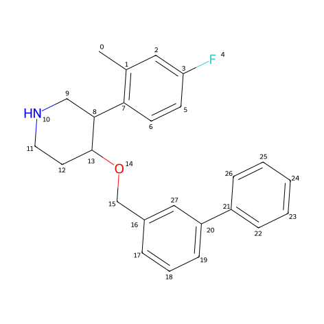 Cc1cc(F)ccc1C1CNCCC1OCc1cccc(-c2ccccc2)c1